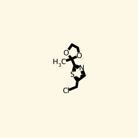 CC1(c2ncc(CCl)s2)OCCO1